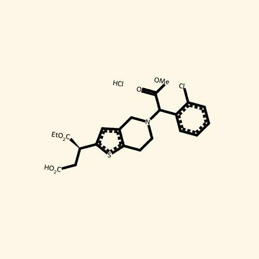 CCOC(=O)[C@H](CC(=O)O)c1cc2c(s1)CCN(C(C(=O)OC)c1ccccc1Cl)C2.Cl